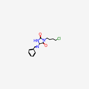 O=C1NC(N=Cc2ccccc2)C(=O)N1CCCCCl